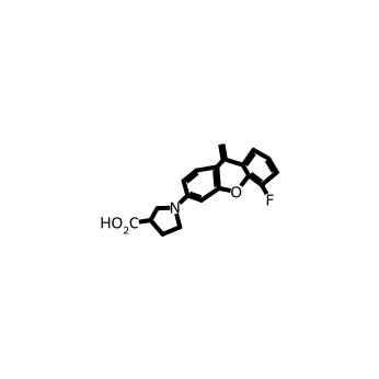 C=C1c2ccc(N3CCC(C(=O)O)C3)cc2Oc2c(F)cccc21